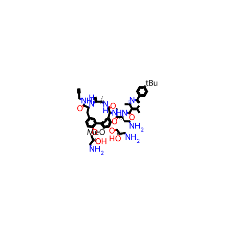 C#CCNC(=O)C1Cc2ccc(OC[C@H](O)CN)c(c2)-c2cc(cc(OC[C@H](O)CN)c2OC)C(N(C)C(=O)[C@H](CCN)NC(=O)C(=C(C)C)/C(C)=N\C(=C)c2ccc(C(C)(C)C)cc2)C(=O)N[C@@H](C)C(=C)N1